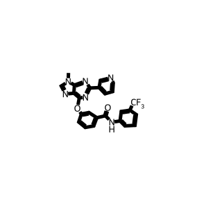 Cn1cnc2c(Oc3cccc(C(=O)Nc4cccc(C(F)(F)F)c4)c3)nc(-c3cccnc3)nc21